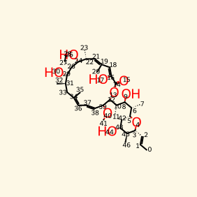 C/C=C/[C@H]1O[C@@H]([C@@H](C)[C@H](O)[C@H](C)[C@H]2OC(=O)/C(O)=C/C(C)=C/[C@@H](C)[C@@H](O)[C@@H](CC)[C@@H](O)[C@H](C)C/C(C)=C/C=C/[C@@H]2OC)C[C@@H](O)[C@@H]1C